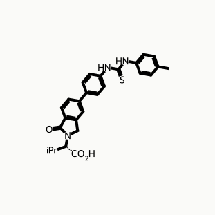 Cc1ccc(NC(=S)Nc2ccc(-c3ccc4c(c3)CN([C@H](C(=O)O)C(C)C)C4=O)cc2)cc1